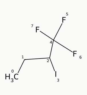 CCC(I)C(F)(F)F